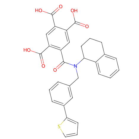 O=C(O)c1cc(C(=O)O)c(C(=O)N(Cc2cccc(-c3cccs3)c2)C2CCCc3ccccc32)cc1C(=O)O